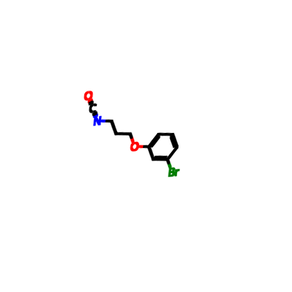 O=C=NCCCOc1cccc(Br)c1